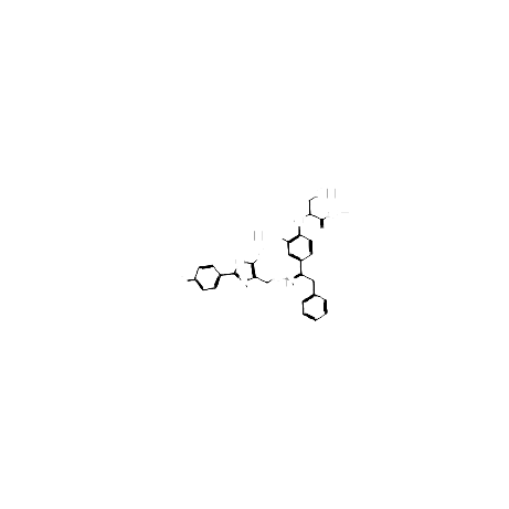 CCC(Oc1ccc(/C(Cc2ccccc2)=N\OCc2nc(-c3ccc(C)cc3)oc2C)cc1C)C(=O)O